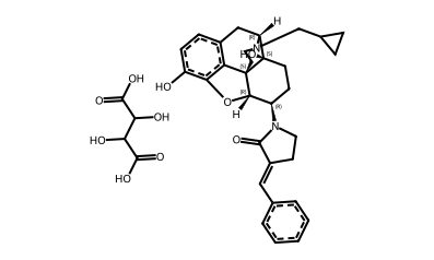 O=C(O)C(O)C(O)C(=O)O.O=C1C(=Cc2ccccc2)CCN1[C@@H]1CC[C@@]2(O)[C@H]3Cc4ccc(O)c5c4[C@@]2(CCN3CC2CC2)[C@H]1O5